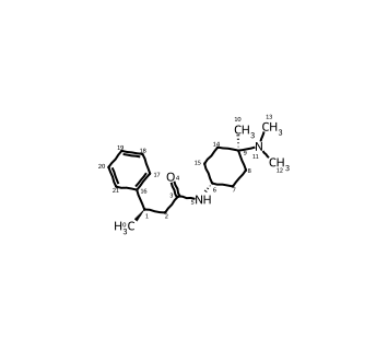 C[C@H](CC(=O)N[C@H]1CC[C@](C)(N(C)C)CC1)c1ccccc1